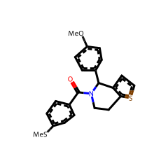 COc1ccc(C2c3ccsc3CCN2C(=O)c2ccc(SC)cc2)cc1